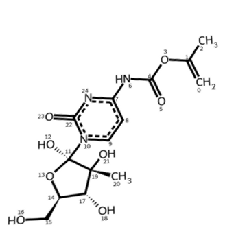 C=C(C)OC(=O)Nc1ccn([C@]2(O)O[C@H](CO)[C@@H](O)[C@@]2(C)O)c(=O)n1